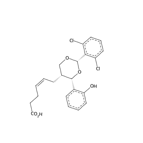 O=C(O)CC/C=C\C[C@@H]1CO[C@H](c2c(Cl)cccc2Cl)O[C@@H]1c1ccccc1O